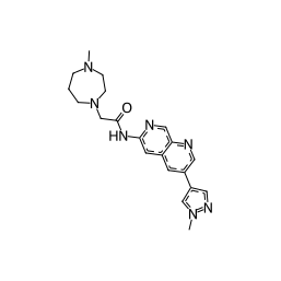 CN1CCCN(CC(=O)Nc2cc3cc(-c4cnn(C)c4)cnc3cn2)CC1